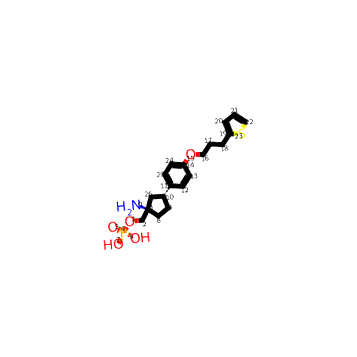 N[C@]1(COP(=O)(O)O)CC[C@@H](c2ccc(OCCCc3cccs3)cc2)C1